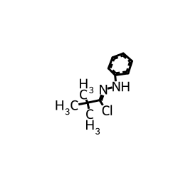 CC(C)(C)C(Cl)=NNc1ccccc1